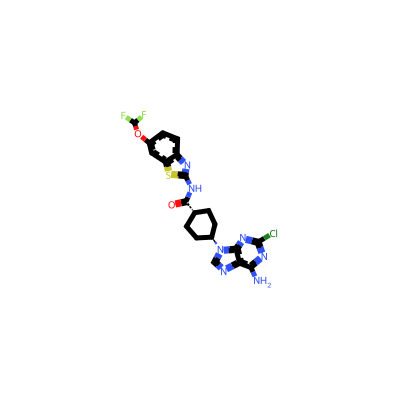 Nc1nc(Cl)nc2c1ncn2[C@H]1CC[C@@H](C(=O)Nc2nc3ccc(OC(F)F)cc3s2)CC1